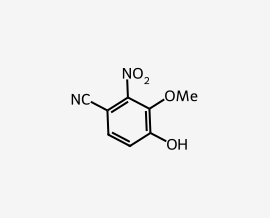 COc1c(O)ccc(C#N)c1[N+](=O)[O-]